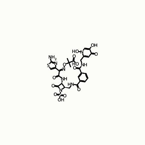 CC(C)(ON=C(C(=O)N[C@@H]1C(=O)N(S(=O)(=O)O)[C@@H]1CNC(=O)c1cccc(C(=O)NCc2cc(=O)c(O)cn2O)c1)c1csc(N)n1)C(=O)O